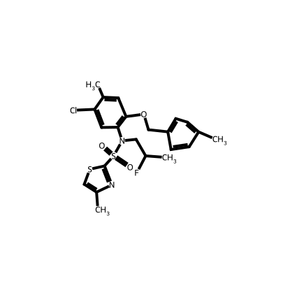 Cc1ccc(COc2cc(C)c(Cl)cc2N(CC(C)F)S(=O)(=O)c2nc(C)cs2)cc1